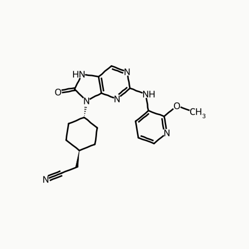 COc1ncccc1Nc1ncc2[nH]c(=O)n([C@H]3CC[C@H](CC#N)CC3)c2n1